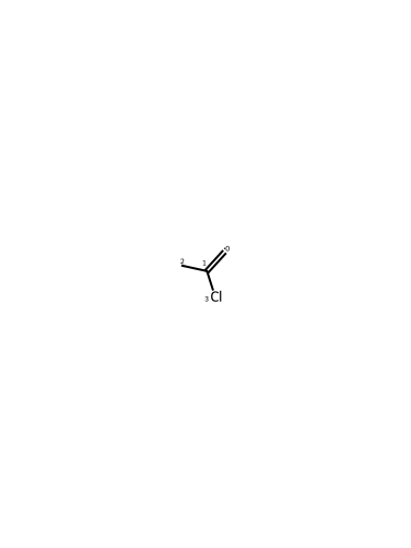 [CH]=C(C)Cl